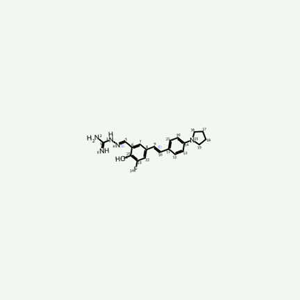 N=C(N)N/N=C/c1cc(/C=C/c2ccc(N3CCCC3)cc2)cc(F)c1O